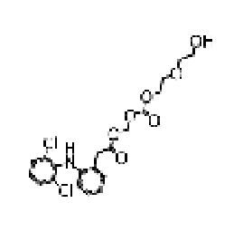 O=C(Cc1ccccc1Nc1c(Cl)cccc1Cl)OCOC(=O)OCCOCCO